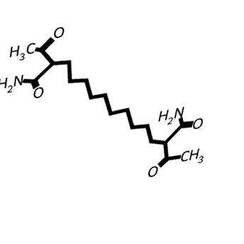 CC(=O)C(CCCCCCCCCCC(C(C)=O)C(N)=O)C(N)=O